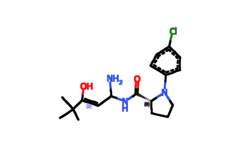 CC(C)(C)/C(O)=C/C(N)NC(=O)[C@H]1CCCN1c1ccc(Cl)cc1